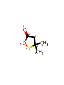 CC1(C)CC(=O)OS1